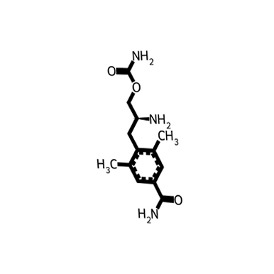 Cc1cc(C(N)=O)cc(C)c1C[C@H](N)COC(N)=O